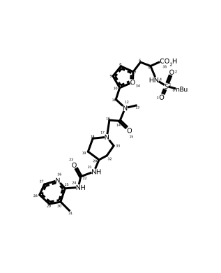 CCCCS(=O)(=O)NC(Cc1ccc(CN(C)C(=O)CN2CCC(NC(=O)Nc3ncccc3C)CC2)o1)C(=O)O